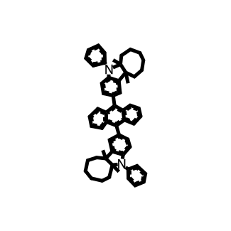 CC12CCCCCCC1(C)N(c1ccccc1)c1ccc(-c3c4ccccc4c(-c4ccc5c(c4)C4(C)CCCCCCC4(C)N5c4ccccc4)c4ccccc34)cc12